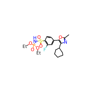 CCOP(=O)(NS(=O)(=O)c1ccc(-c2oc(C)nc2C2CCCCC2)cc1F)OCC